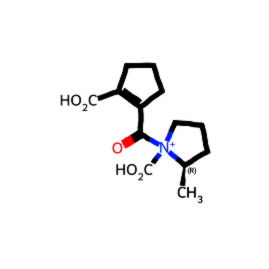 C[C@@H]1CCC[N+]1(C(=O)O)C(=O)C1=C(C(=O)O)CCC1